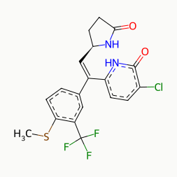 CSc1ccc(/C(=C/[C@H]2CCC(=O)N2)c2ccc(Cl)c(=O)[nH]2)cc1C(F)(F)F